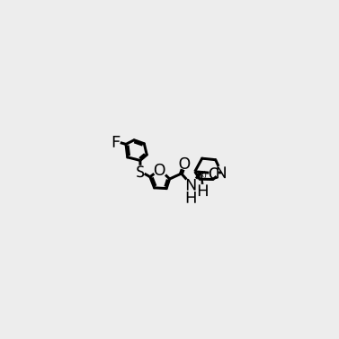 O=C(N[C@H]1CN2CCC1CC2)c1ccc(Sc2cccc(F)c2)o1